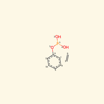 C=C.OP(O)Oc1ccccc1